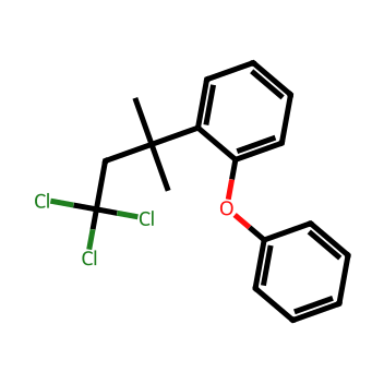 CC(C)(CC(Cl)(Cl)Cl)c1ccccc1Oc1ccccc1